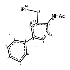 CC(=O)Nc1ncc(-c2ccccc2)nc1CC(C)C